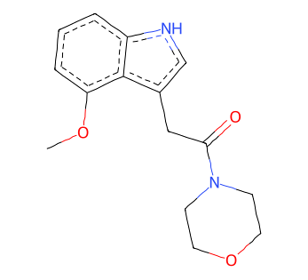 COc1cccc2[nH]cc(CC(=O)N3CCOCC3)c12